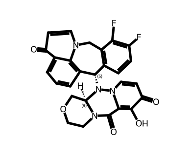 O=C1c2c(O)c(=O)ccn2N([C@H]2c3ccc(F)c(F)c3Cn3ccc(=O)c4cccc2c43)[C@@H]2COCCN12